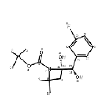 CC(C)(C)OC(=O)N1C(C)(C)C[C@]1(O)[C@H](O)c1cccc(F)c1